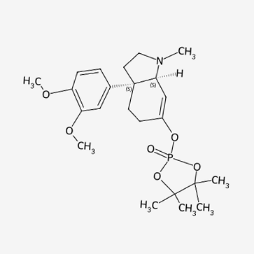 COc1ccc([C@@]23CCC(OP4(=O)OC(C)(C)C(C)(C)O4)=C[C@@H]2N(C)CC3)cc1OC